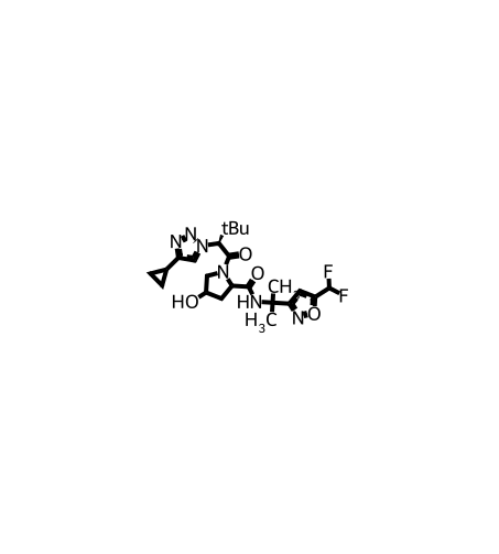 CC(C)(NC(=O)C1CC(O)CN1C(=O)[C@@H](n1cc(C2CC2)nn1)C(C)(C)C)c1cc(C(F)F)on1